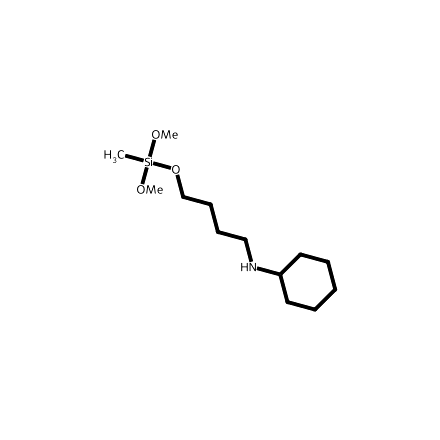 CO[Si](C)(OC)OCCCCNC1CCCCC1